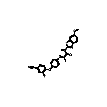 COc1ccc2nc(N(C)C(=O)[C@@H](C)Oc3ccc(Oc4ccc(C#N)cc4F)cc3)sc2c1